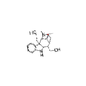 C/C=C1\C2CCN(C)C1C1(CCO)c3ccccc3NC1C2CO